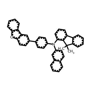 CC1(C)c2ccccc2-c2cccc(N(c3ccc(-c4ccc5oc6ccccc6c5c4)cc3)c3ccc4ccccc4c3)c21